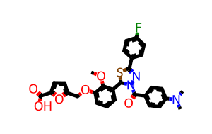 COc1c(OCc2ccc(C(=O)O)o2)cccc1C1SC(c2ccc(F)cc2)=NN1C(=O)c1ccc(N(C)C)cc1